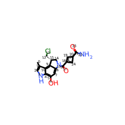 Cc1c[nH]c2c(O)cc3c(c12)[C@H](CCl)CN3C(=O)C12CC(C(N)=O)(C1)C2